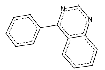 [c]1nc(-c2ccccc2)c2ccccc2n1